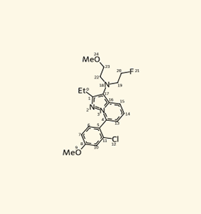 CCc1nn2c(-c3ccc(OC)cc3Cl)cccc2c1N(CCF)CCOC